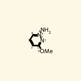 COc1ccc[n+](N)n1